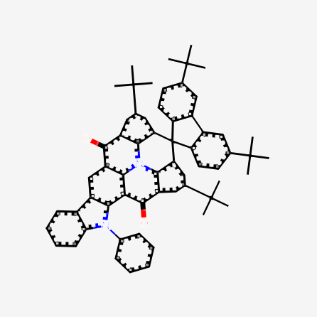 CC(C)(C)c1ccc2c(c1)-c1cc(C(C)(C)C)ccc1C21c2cc(C(C)(C)C)cc3c(=O)c4cc5c6ccccc6n(-c6ccccc6)c5c5c(=O)c6cc(C(C)(C)C)cc1c6n(c23)c45